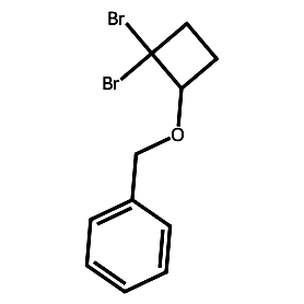 BrC1(Br)CCC1OCc1ccccc1